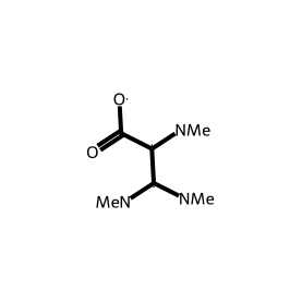 CN[C](NC)[C](NC)C([O])=O